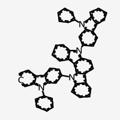 c1ccc(-n2c3ccccc3c3ccc(-n4c5ccccc5c5c4ccc4c6ccccc6n(-c6ccc7c8ccccc8n(-c8ccccc8)c7c6)c45)cc32)cc1